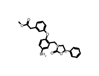 Bc1ccc(Oc2cccc(CC(=O)OC)c2)c(CN2C[C@@H](c3ccccc3)OC2=O)c1